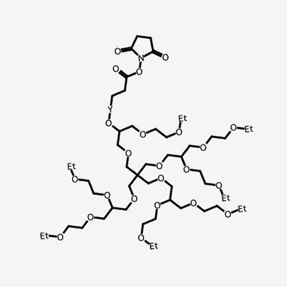 CCOCCOCC(COCC(COCC(COCCOCC)OCCOCC)(COCC(COCCOCC)OCCOCC)COCC(COCCOCC)[O][Y][CH2]CC(=O)ON1C(=O)CCC1=O)OCCOCC